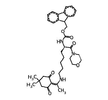 CC(NCCCCC[C@@H](NC(=O)OCC1c2ccccc2-c2ccccc21)C(=O)N1CCOCC1)=C1C(=O)CC(C)(C)CC1=O